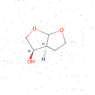 O[C@H]1COC2OCC[C@H]21